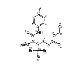 CON(C(=O)Nc1ccc(C)cc1)C(SCC(=O)OCCl)C(Br)(Br)Br